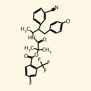 CC(NC(=O)C(C)(C)OC(=O)c1ccc(F)cc1C(F)(F)F)C(Cc1ccc(Cl)cc1)c1cccc(C#N)c1